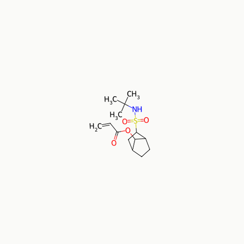 C=CC(=O)OC1C2CCC1C(S(=O)(=O)NC(C)(C)C)C2